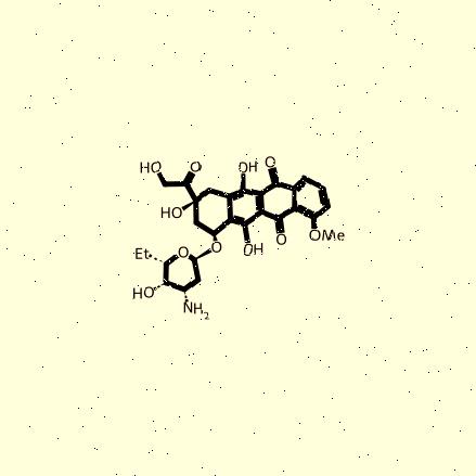 CC[C@@H]1O[C@@H](O[C@H]2C[C@](O)(C(=O)CO)Cc3c(O)c4c(c(O)c32)C(=O)c2c(OC)cccc2C4=O)C[C@H](N)[C@@H]1O